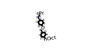 CCC/C=C/c1ccc(OCc2ccc(CCCCCCCC)cc2)cc1